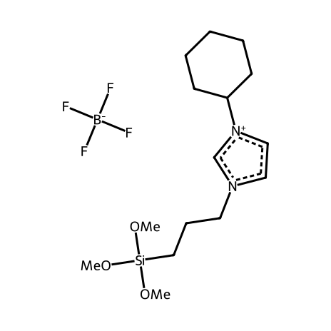 CO[Si](CCCn1cc[n+](C2CCCCC2)c1)(OC)OC.F[B-](F)(F)F